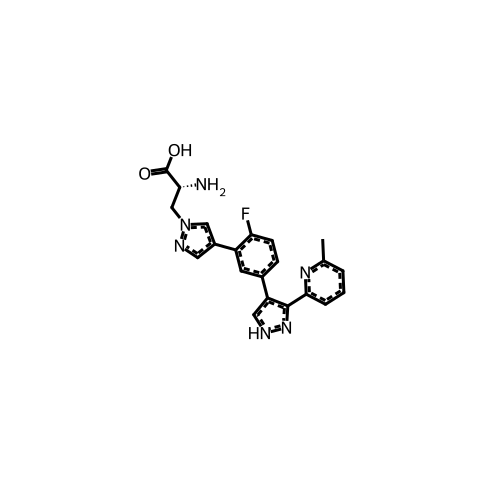 Cc1cccc(-c2n[nH]cc2-c2ccc(F)c(-c3cnn(C[C@@H](N)C(=O)O)c3)c2)n1